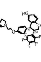 Oc1ccc2c(c1)[C@@H](c1ccc(OCCN3CCCC3)cc1)[C@@H](c1c(F)c(F)c(F)c(F)c1F)CO2